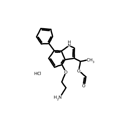 CC(OC=O)c1c[nH]c2c(-c3ccccc3)ccc(OCCN)c12.Cl